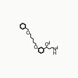 INCCC(OI)c1cccc(OCCCCCOCc2ccccc2)c1